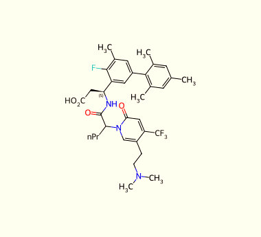 CCCC(C(=O)N[C@@H](CC(=O)O)c1cc(-c2c(C)cc(C)cc2C)cc(C)c1F)n1cc(CCN(C)C)c(C(F)(F)F)cc1=O